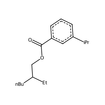 CCCCC(CC)COC(=O)c1cccc(C(C)C)c1